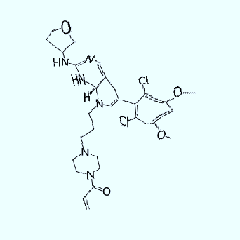 C=CC(=O)N1CCN(CCCN2C=C(c3c(Cl)c(OC)cc(OC)c3Cl)CC3=CN=C(NC4CCOC4)N[C@H]32)CC1